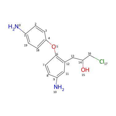 Nc1ccc(Oc2ccc(N)cc2CC(O)CCl)cc1